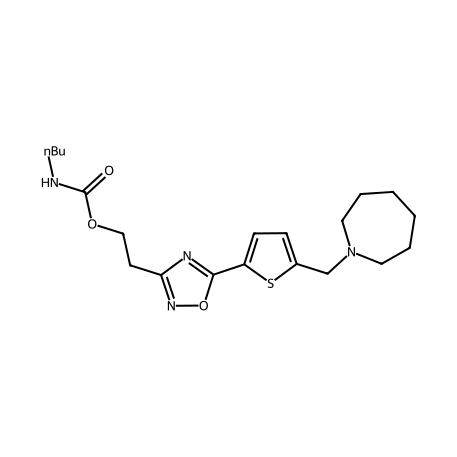 CCCCNC(=O)OCCc1noc(-c2ccc(CN3CCCCCC3)s2)n1